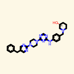 O[C@@H]1CCCN(Cc2ccc(Nc3ncnc(N4CCN(c5ncc(Cc6ccccc6)cn5)CC4)n3)cc2)C1